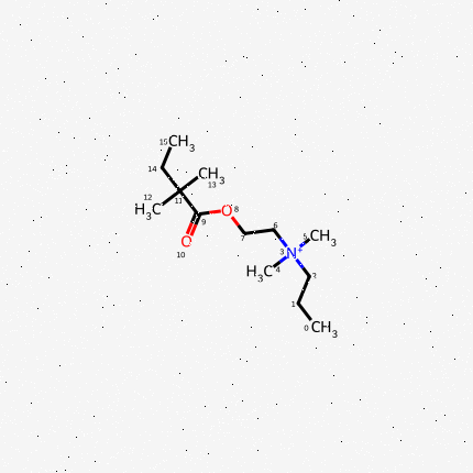 CCC[N+](C)(C)CCOC(=O)C(C)(C)CC